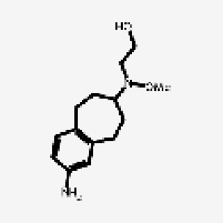 CON(CCO)C1CCc2ccc(N)cc2CC1